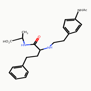 CC(=O)Nc1ccc(CCNC(CCc2ccccc2)C(=O)NC(C)C(=O)O)cc1